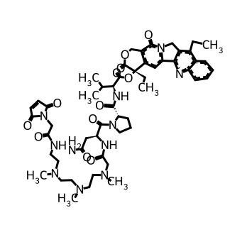 CCc1c2c(nc3ccccc13)-c1cc3c(c(=O)n1C2)COC(=O)[C@@]3(CC)OC(=O)[C@@H](NC(=O)[C@@H]1CCCN1C(=O)[C@H](CC(N)=O)NC(=O)CN(C)CCN(C)CCN(C)CCNC(=O)CN1C(=O)C=CC1=O)C(C)C